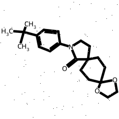 CC(C)(C)c1ccc(N2CCC3(CCC4(CC3)OCCO4)C2=O)cc1